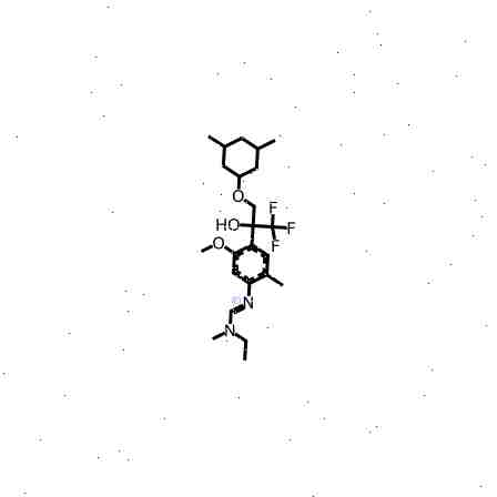 CCN(C)/C=N/c1cc(OC)c(C(O)(COC2CC(C)CC(C)C2)C(F)(F)F)cc1C